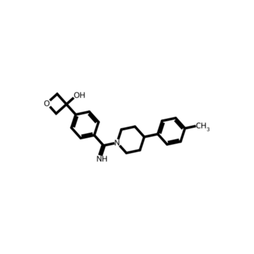 Cc1ccc(C2CCN(C(=N)c3ccc(C4(O)COC4)cc3)CC2)cc1